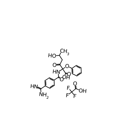 CC(O)CC(=O)C(NC(=O)c1ccc(C(=N)N)cc1)(Oc1ccccc1)C(=O)O.O=C(O)C(F)(F)F